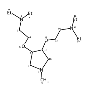 CCN(CC)CCOC1CN(C)CC1OCCN(CC)CC